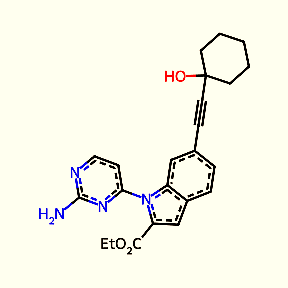 CCOC(=O)c1cc2ccc(C#CC3(O)CCCCC3)cc2n1-c1ccnc(N)n1